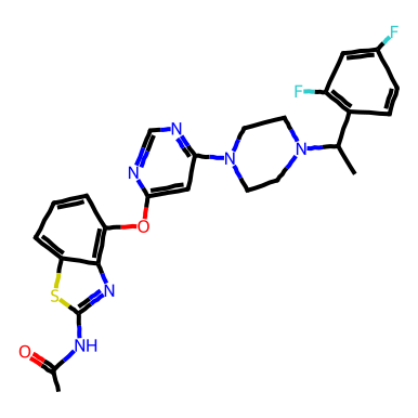 CC(=O)Nc1nc2c(Oc3cc(N4CCN(C(C)c5ccc(F)cc5F)CC4)ncn3)cccc2s1